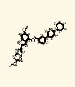 COc1cc(OCc2cccc(-c3ccc(N4CCCCC4)nc3)c2)c2cc(-c3cn4nc(OC)sc4n3)oc2c1